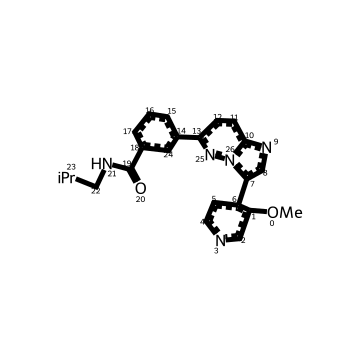 COc1cnccc1-c1cnc2ccc(-c3cccc(C(=O)NCC(C)C)c3)nn12